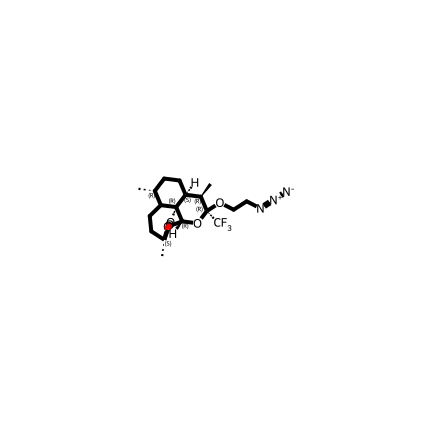 C[C@@H]1CC[C@H]2[C@@H](C)[C@](OCCN=[N+]=[N-])(C(F)(F)F)O[C@@H]3O[C@]4(C)CCC1[C@]32OO4